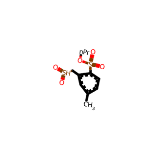 CCCOS(=O)(=O)c1ccc(C)cc1C[SH](=O)=O